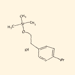 CC(C)c1ccc(CCO[Si](C)(C)C)cc1.[KH]